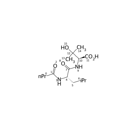 CCCC(=O)N[C@@H](CC(C)C)C(=O)N[C@H](C(=O)O)C(C)(C)O